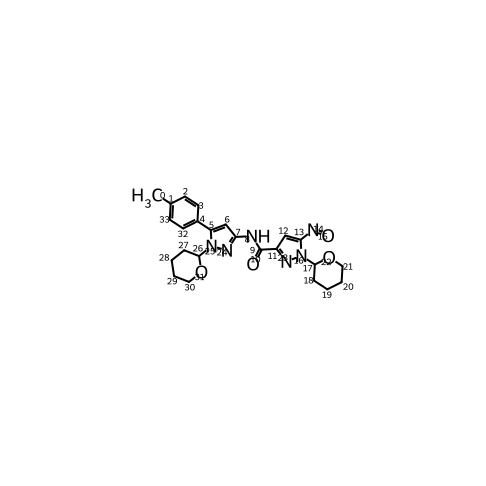 Cc1ccc(-c2cc(NC(=O)c3cc(N=O)n(C4CCCCO4)n3)nn2C2CCCCO2)cc1